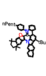 CCCCCc1ccc(N2B3c4oc5cc6c(cc5c4-n4c5cc7ccccc7cc5c5c(C(C)(C)C)cc(c3c54)-c3ccccc32)C(C)(C)CCC6(C)C)cc1